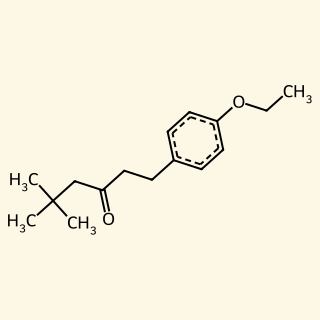 CCOc1ccc(CCC(=O)CC(C)(C)C)cc1